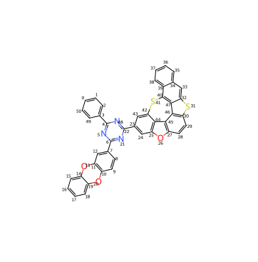 c1ccc(-c2nc(-c3ccc4c(c3)Oc3ccccc3O4)nc(-c3cc4oc5ccc6sc7cc8ccccc8c8sc(c3)c4c5c6c78)n2)cc1